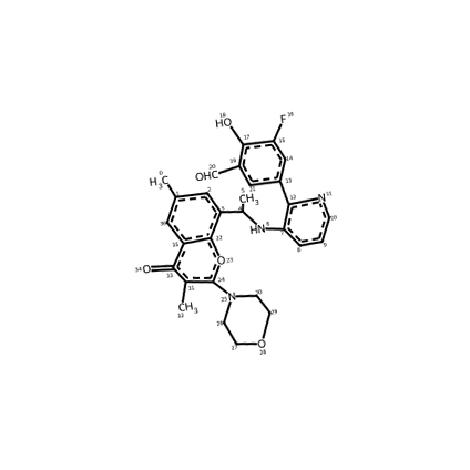 Cc1cc(C(C)Nc2cccnc2-c2cc(F)c(O)c(C=O)c2)c2oc(N3CCOCC3)c(C)c(=O)c2c1